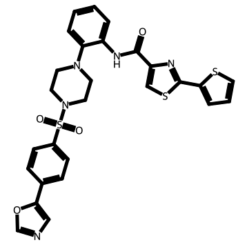 O=C(Nc1ccccc1N1CCN(S(=O)(=O)c2ccc(-c3cnco3)cc2)CC1)c1csc(-c2cccs2)n1